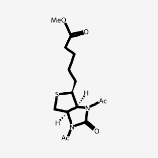 COC(=O)CCCC[C@@H]1SC[C@H]2[C@@H]1N(C(C)=O)C(=O)N2C(C)=O